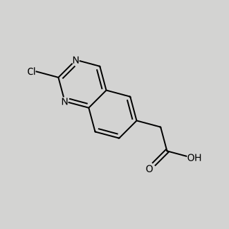 O=C(O)Cc1ccc2nc(Cl)ncc2c1